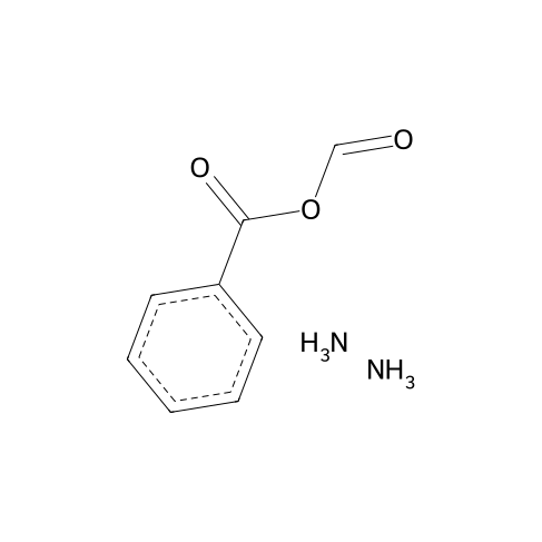 N.N.O=COC(=O)c1ccccc1